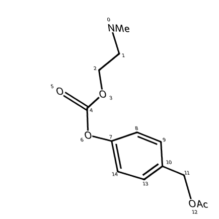 CNCCOC(=O)Oc1ccc(COC(C)=O)cc1